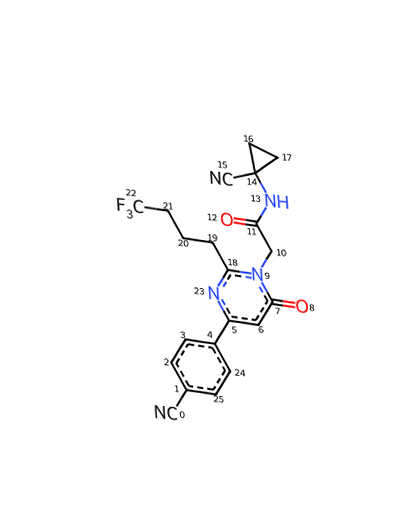 N#Cc1ccc(-c2cc(=O)n(CC(=O)NC3(C#N)CC3)c(CCCC(F)(F)F)n2)cc1